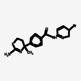 CC1(c2ccc(C(=O)NC3=NCC(Br)C=C3)cc2)CCSC(N)=N1